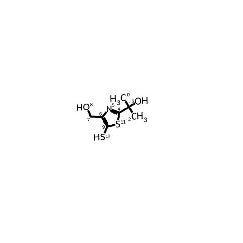 CC(C)(O)c1nc(CO)c(S)s1